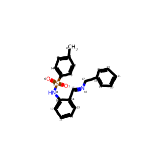 Cc1ccc(S(=O)(=O)Nc2ccccc2/C=N/Cc2ccccc2)cc1